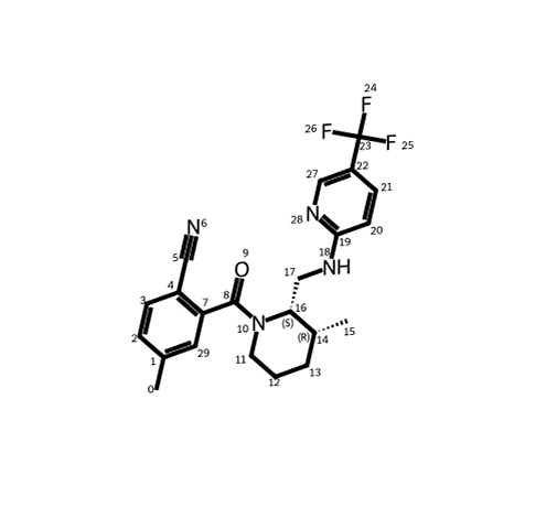 Cc1ccc(C#N)c(C(=O)N2CCC[C@@H](C)[C@H]2CNc2ccc(C(F)(F)F)cn2)c1